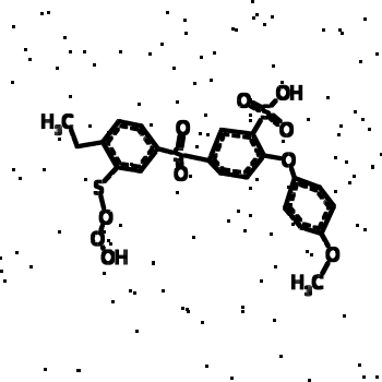 CCc1ccc(S(=O)(=O)c2ccc(Oc3ccc(OC)cc3)c(S(=O)(=O)O)c2)cc1SOOO